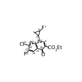 CCOC(=O)c1cn(C2CC2F)c2nc(Cl)c(F)cc2c1=O